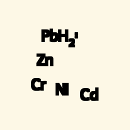 [Cd].[Cr].[Ni].[PbH2].[Zn]